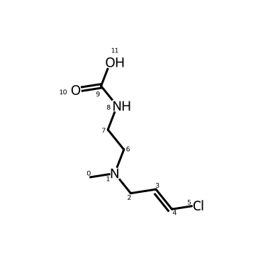 CN(C/C=C/Cl)CCNC(=O)O